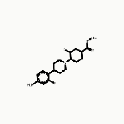 CC(C)(C)OC(=O)C1CCC(N2CCC(c3ccc(N)cc3F)CC2)C(F)C1